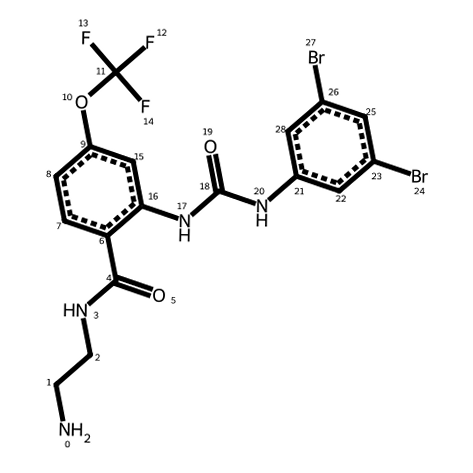 NCCNC(=O)c1ccc(OC(F)(F)F)cc1NC(=O)Nc1cc(Br)cc(Br)c1